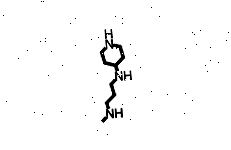 CNCCCNC1CCNCC1